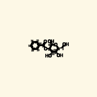 O=C(O[C@@H]1[C@@H](O)[C@@H](O)[C@@H](CO)O[C@H]1O)c1ccccc1